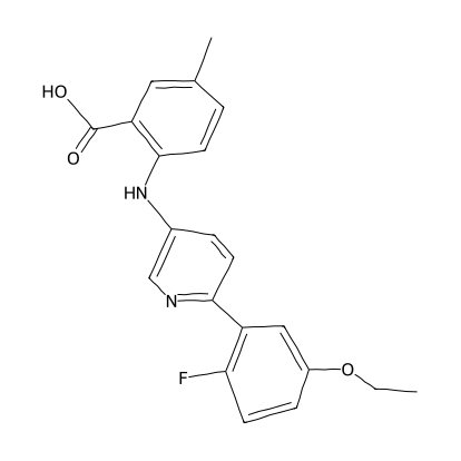 CCOc1ccc(F)c(-c2ccc(Nc3ccc(C)cc3C(=O)O)cn2)c1